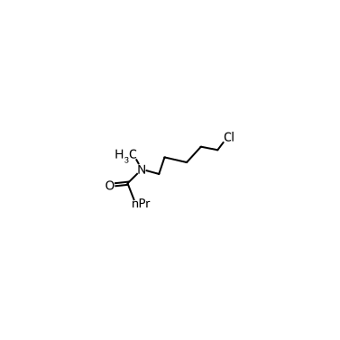 CCCC(=O)N(C)CCCCCCl